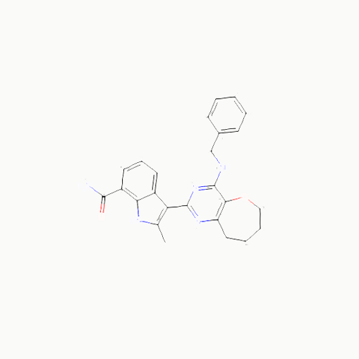 Cc1[nH]c2c(C(N)=O)cccc2c1-c1nc2c(c(NCc3ccccc3)n1)OCCCC2